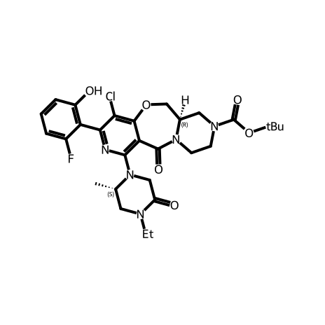 CCN1C[C@H](C)N(c2nc(-c3c(O)cccc3F)c(Cl)c3c2C(=O)N2CCN(C(=O)OC(C)(C)C)C[C@@H]2CO3)CC1=O